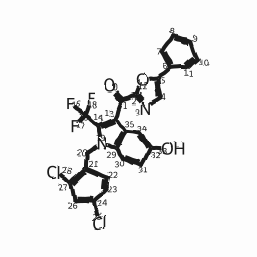 O=C(c1ncc(-c2ccccc2)o1)c1c(C(F)(F)F)n(Cc2ccc(Cl)cc2Cl)c2ccc(O)cc12